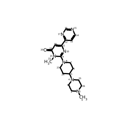 CN1CCN(C2CCN(c3nc(-c4ccncn4)cc(=O)n3C)CC2)CC1